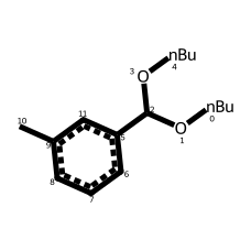 CCCCOC(OCCCC)c1cccc(C)c1